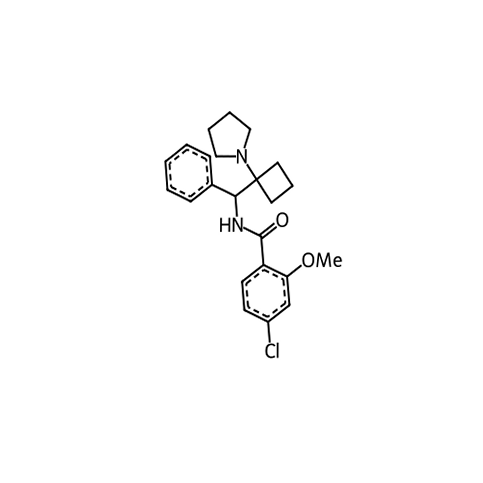 COc1cc(Cl)ccc1C(=O)NC(c1ccccc1)C1(N2CCCC2)CCC1